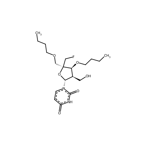 CCCCOC[C@@]1(CF)O[C@@H](n2ccc(=O)[nH]c2=O)[C@H](CO)[C@@H]1OCCCC